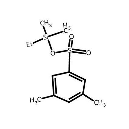 CC[Si](C)(C)OS(=O)(=O)c1cc(C)cc(C)c1